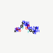 Cn1cc(N)c(-c2nc3c(-c4ccc(CNC(=O)c5nc(C(C)(C)Nc6nccc(-c7ccc(CNC(=O)c8nc(C(C)(C)C)no8)c(F)c7)c6N)no5)c(F)c4)ccnc3[nH]2)n1